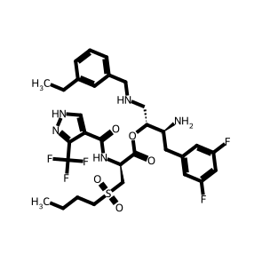 CCCCS(=O)(=O)C[C@@H](NC(=O)c1c[nH]nc1C(F)(F)F)C(=O)O[C@H](CNCc1cccc(CC)c1)[C@@H](N)Cc1cc(F)cc(F)c1